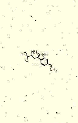 CSc1ccc2c(CC(N)C(=O)O)c[nH]c2c1